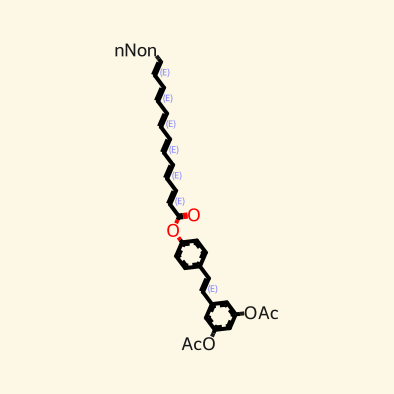 CCCCCCCCC/C=C/C=C/C=C/C=C/C=C/C=C/C(=O)Oc1ccc(/C=C/c2cc(OC(C)=O)cc(OC(C)=O)c2)cc1